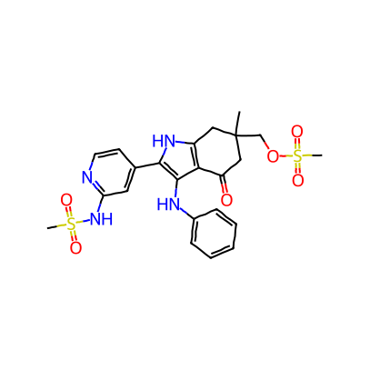 CC1(COS(C)(=O)=O)CC(=O)c2c([nH]c(-c3ccnc(NS(C)(=O)=O)c3)c2Nc2ccccc2)C1